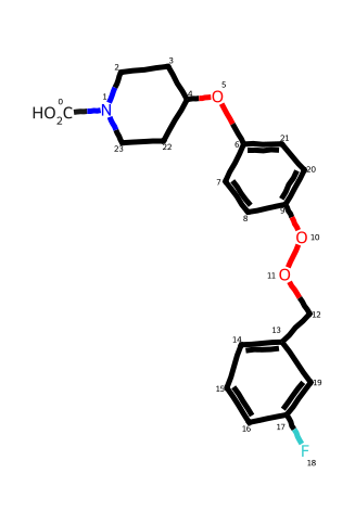 O=C(O)N1CCC(Oc2ccc(OOCc3cccc(F)c3)cc2)CC1